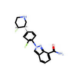 NC(=O)c1cccc2cn(-c3ccc([C@H]4CNCC[C@H]4F)cc3F)nc12